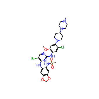 COc1cc(N2CCC(N3CCN(C)CC3)CC2)c(Cl)cc1Nc1ncc(Br)c(Nc2cc3c(cc2NS(C)(=O)=O)OCO3)n1